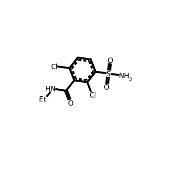 CCNC(=O)c1c(Cl)ccc(S(N)(=O)=O)c1Cl